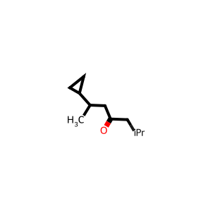 CC(C)CC(=O)CC(C)C1CC1